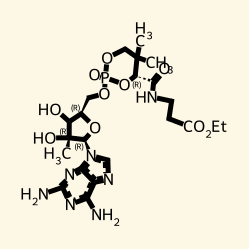 CCOC(=O)CCNC(=O)[C@@H]1OP(=O)(OC[C@H]2O[C@@H](n3cnc4c(N)nc(N)nc43)[C@](C)(O)C2O)OCC1(C)C